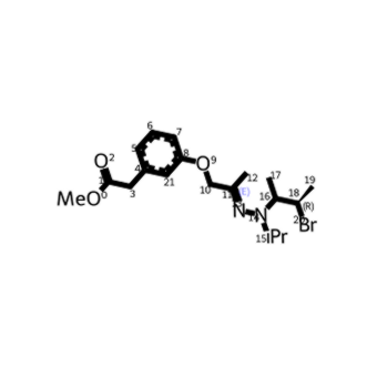 COC(=O)Cc1cccc(OC/C(C)=N/N(C(C)C)C(C)[C@@H](C)Br)c1